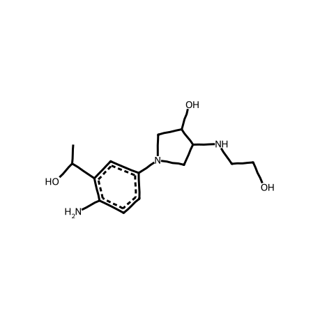 CC(O)c1cc(N2CC(O)C(NCCO)C2)ccc1N